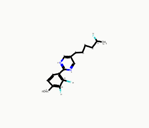 CCCCCCCCCCc1ccc(-c2ncc(CCCCC(C)F)cn2)c(F)c1F